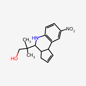 CC(C)(CO)C1Nc2ccc([N+](=O)[O-])cc2C2C=CCC21